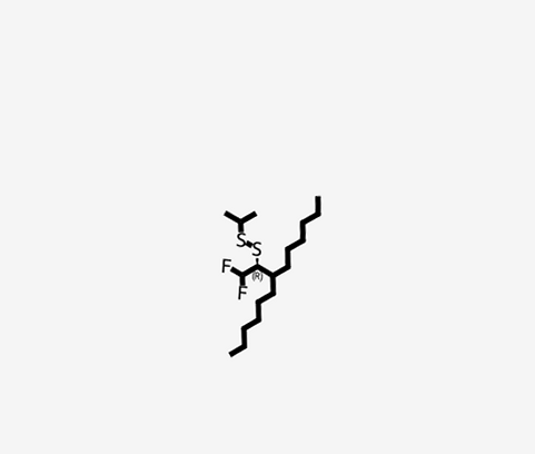 CCCCCCC(CCCCCC)[C@@H](SSC(C)C)C(F)F